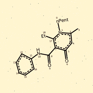 CCCCCn1c(C)cc(=O)c(C(=O)Nc2ccccc2)c1CC